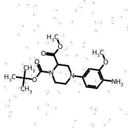 COC(=O)C1CN(c2ccc(N)c(OC)c2)CCN1C(=O)OC(C)(C)C